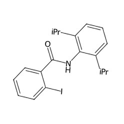 CC(C)c1cccc(C(C)C)c1NC(=O)c1ccccc1I